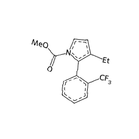 CCc1ccn(C(=O)OC)c1-c1ccccc1C(F)(F)F